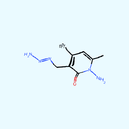 CCCc1cc(C)n(N)c(=O)c1CN=NN